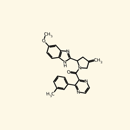 C=C1CC(c2nc3cc(OC)ccc3[nH]2)N(C(=O)c2nccnc2-c2cccc(C)c2)C1